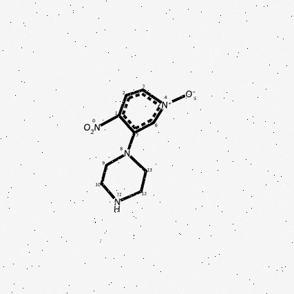 O=[N+]([O-])c1cc[n+]([O-])cc1N1CCNCC1